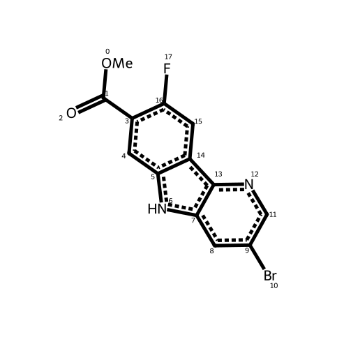 COC(=O)c1cc2[nH]c3cc(Br)cnc3c2cc1F